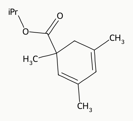 CC1=CC(C)(C(=O)OC(C)C)CC(C)=C1